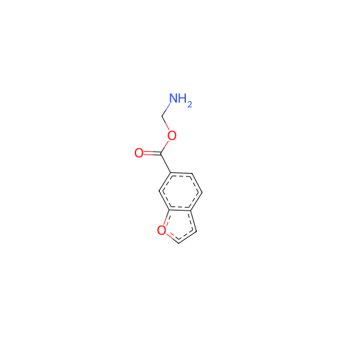 NCOC(=O)c1ccc2ccoc2c1